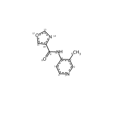 Cc1cnccc1NC(=O)c1cocn1